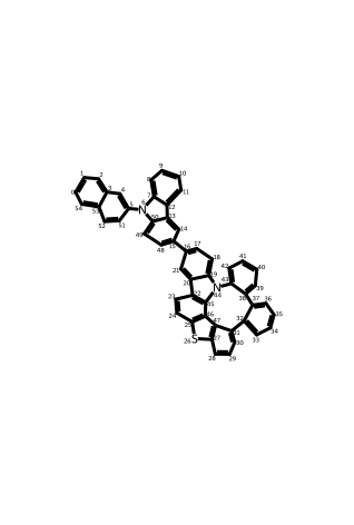 c1ccc2cc(-n3c4ccccc4c4cc(-c5ccc6c(c5)c5ccc7sc8cccc9c%10ccccc%10c%10ccccc%10n6c5c7c89)ccc43)ccc2c1